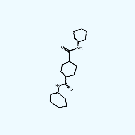 O=C(NC1CCCCC1)C1CCC(C(=O)NC2CCCCC2)CC1